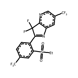 CCS(=O)(=O)c1cc(C(F)(F)F)ccc1C1=Nc2cc(C(F)(F)F)cnc2C1(F)F